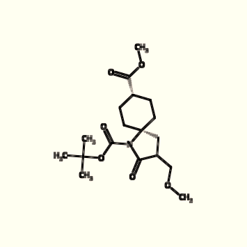 COCC1C[C@]2(CC[C@@H](C(=O)OC)CC2)N(C(=O)OC(C)(C)C)C1=O